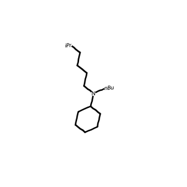 CCCCN(CCCCC(C)C)C1CCCCC1